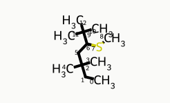 CCC(C)(C)CC(SC)C(C)(C)C